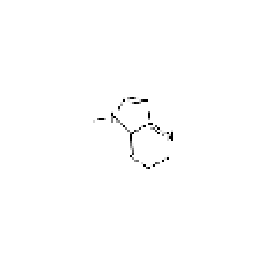 Cn1ccc2c1=CCCN=2